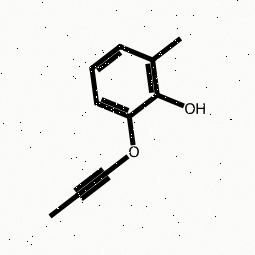 CC#COc1cccc(C)c1O